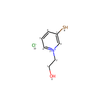 OCC[n+]1cccc(S)c1.[Cl-]